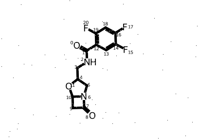 O=C(NCC1CN2C(=O)CC2O1)c1cc(F)c(F)cc1F